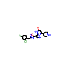 O=c1cc(C2CCNCC2)n2ncc(-c3nc(Cc4ccc(F)cc4Cl)no3)c2[nH]1